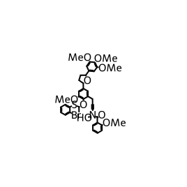 COc1ccccc1C(=O)N(O)C#CCc1cc(C2CCC(c3cc(OC)c(OC)c(OC)c3)O2)cc(OC)c1OC(C)Sc1ccccc1Br